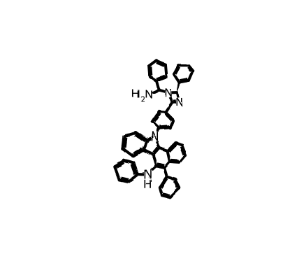 NC(c1ccccc1)N1C(c2ccc(-n3c4ccccc4c4c(Nc5ccccc5)c(-c5ccccc5)c5ccccc5c43)cc2)=N[C@@H]1c1ccccc1